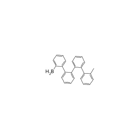 Bc1ccccc1-c1ccccc1-c1ccccc1-c1ccccc1C